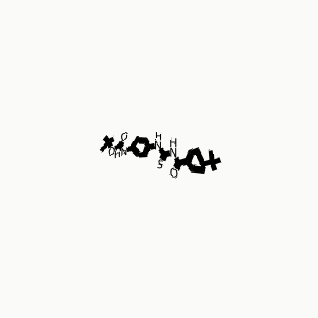 CC(C)(C)OC(=O)Nc1ccc(NC(=S)NC(=O)c2ccc(C(C)(C)C)cc2)cc1